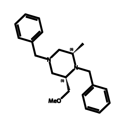 COC[C@@H]1CN(Cc2ccccc2)C[C@H](C)N1Cc1ccccc1